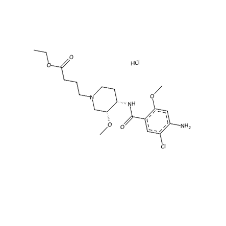 CCOC(=O)CCCN1CC[C@H](NC(=O)c2cc(Cl)c(N)cc2OC)[C@H](OC)C1.Cl